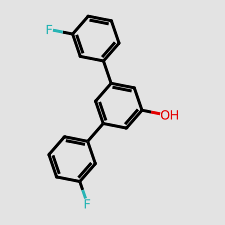 Oc1cc(-c2cccc(F)c2)cc(-c2cccc(F)c2)c1